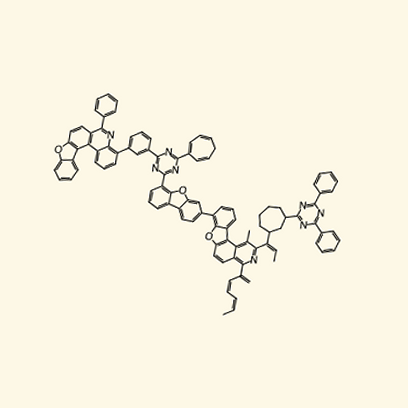 C=C(/C=C\C=C/C)c1nc(/C(=C\C)C2CCCCC(c3nc(-c4ccccc4)nc(-c4ccccc4)n3)C2)c(C)c2c1ccc1oc3c(-c4ccc5c(c4)oc4c(-c6nc(C7=CC=CCC=C7)nc(-c7cccc(-c8cccc9c8nc(-c8ccccc8)c8ccc%10oc%11ccccc%11c%10c89)c7)n6)cccc45)cccc3c12